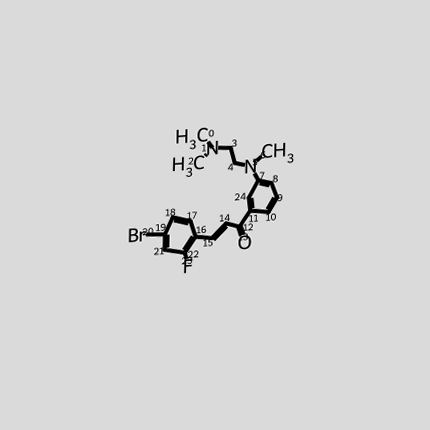 CN(C)CCN(C)c1cccc(C(=O)C=Cc2ccc(Br)cc2F)c1